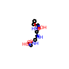 O=C(Nc1ccc(-c2cc(-c3ccc(NC(=O)[C@]4(Cc5ccccc5)C(Cc5ccccc5)CCN4C(=O)O)cc3)n[nH]2)cc1)[C@@H]1CCCN1C(=O)O